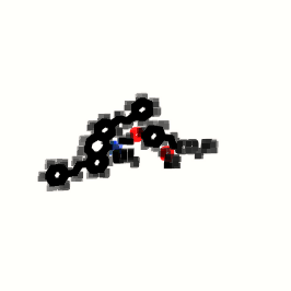 CCOC(=O)C(Cc1ccc(OCCN(C)C2c3cc(CCc4ccccc4)ccc3CCc3c(CCc4ccccc4)cccc32)cc1)OCC